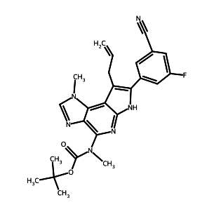 C=CCc1c(-c2cc(F)cc(C#N)c2)[nH]c2nc(N(C)C(=O)OC(C)(C)C)c3ncn(C)c3c12